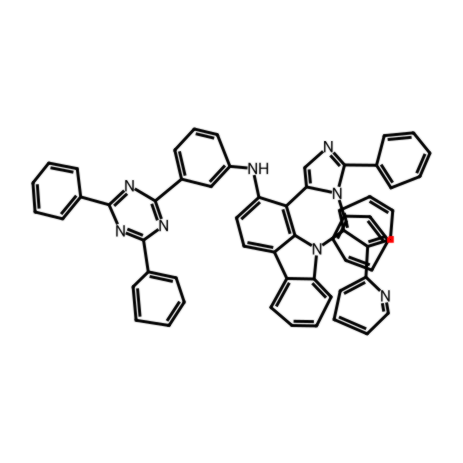 c1ccc(-c2nc(-c3ccccc3)nc(-c3cccc(Nc4ccc5c6ccccc6n(-c6ccccc6-c6ccccn6)c5c4-c4cnc(-c5ccccc5)n4-c4ccccc4)c3)n2)cc1